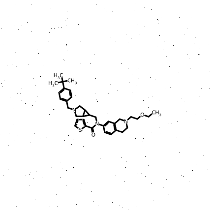 CCOCCN1CCc2ccc(N(CC3C4CN(Cc5ccc(C(C)(C)C)cc5)CC43)C(=O)c3cccs3)cc2C1